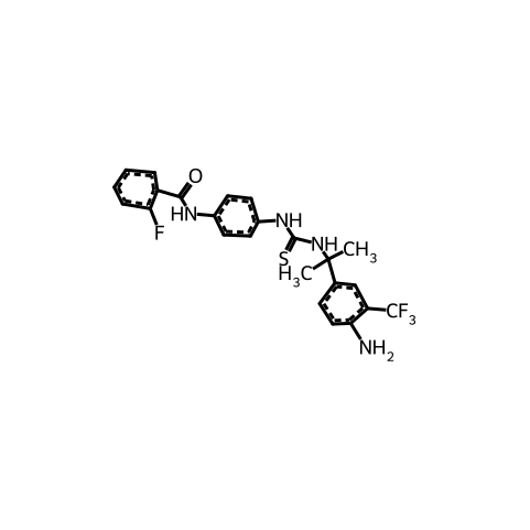 CC(C)(NC(=S)Nc1ccc(NC(=O)c2ccccc2F)cc1)c1ccc(N)c(C(F)(F)F)c1